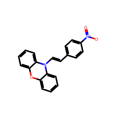 O=[N+]([O-])c1ccc(C=CN2c3ccccc3Oc3ccccc32)cc1